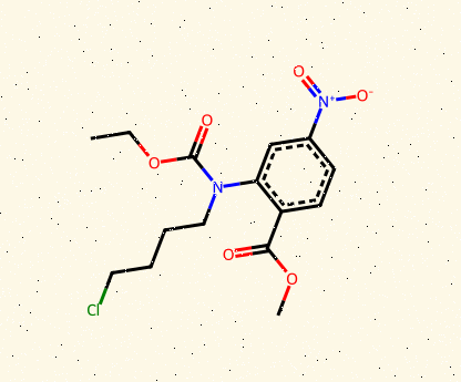 CCOC(=O)N(CCCCCl)c1cc([N+](=O)[O-])ccc1C(=O)OC